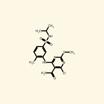 CSc1nc(Cl)c(C(N)=O)c(Nc2cc(S(=O)(=O)NC(C)C)ccc2C)n1